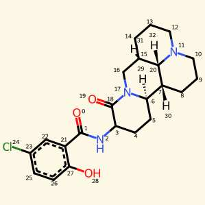 O=C(NC1CC[C@@H]2[C@H]3CCCN4CCC[C@@H](CN2C1=O)[C@@H]34)c1cc(Cl)ccc1O